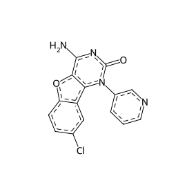 Nc1nc(=O)n(-c2cccnc2)c2c1oc1ccc(Cl)cc12